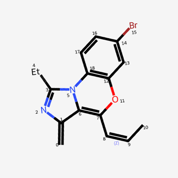 C=c1nc(CC)n2c1=C(/C=C\C)Oc1cc(Br)ccc1-2